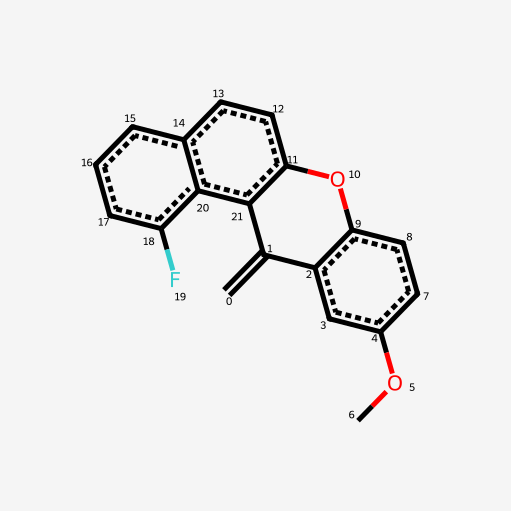 C=C1c2cc(OC)ccc2Oc2ccc3cccc(F)c3c21